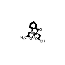 CC(=O)C[Se]c1ccccc1C(=O)N(C=O)CC(=O)O